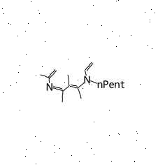 C=CN(CCCCC)/C(C)=C(C)/C(C)=N\C(=C)C